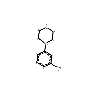 N#Cc1cncc(N2CCOCC2)c1